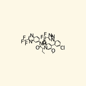 CCC(C(=O)Nc1ccc2ncc(C(F)(F)F)nc2c1)n1cc(OC)c(-c2cc(Cl)ccc2-n2cc(C(F)(F)F)nn2)cc1=O